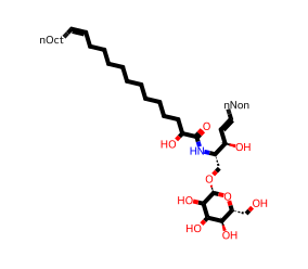 CCCCCCCC/C=C\CCCCCCCCCCC(O)C(=O)N[C@@H](CO[C@@H]1O[C@H](CO)[C@@H](O)C(O)C1O)[C@H](O)/C=C/CCCCCCCCC